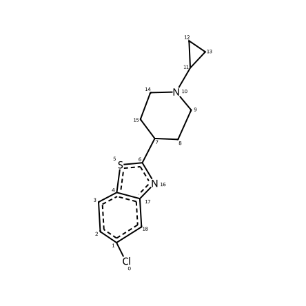 Clc1ccc2sc(C3CCN(C4CC4)CC3)nc2c1